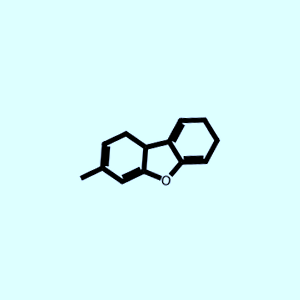 CC1=CCC2C(=C1)OC1=CCCC=C12